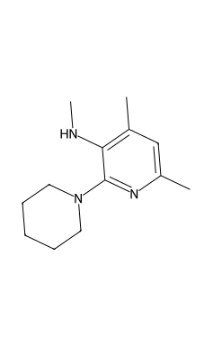 CNc1c(C)cc(C)nc1N1CCCCC1